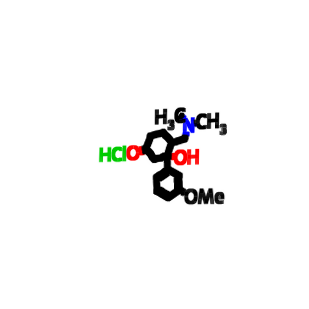 COc1cccc(C2(O)CC(=O)CCC2CN(C)C)c1.Cl